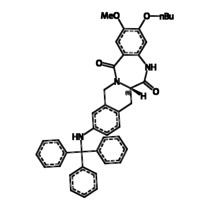 CCCCOc1cc2c(cc1OC)C(=O)N1Cc3cc(NC(c4ccccc4)(c4ccccc4)c4ccccc4)ccc3C[C@H]1C(=O)N2